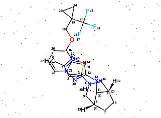 Cc1cc(N2C[C@H]3CC[C@@H](C2)[C@@H]3Nc2nc3c(OCC4(C(F)(F)F)CC4)cccn3n2)sn1